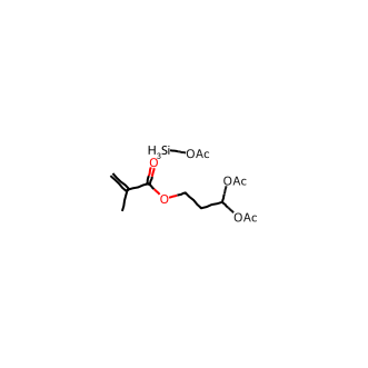 C=C(C)C(=O)OCCC(OC(C)=O)OC(C)=O.CC(=O)O[SiH3]